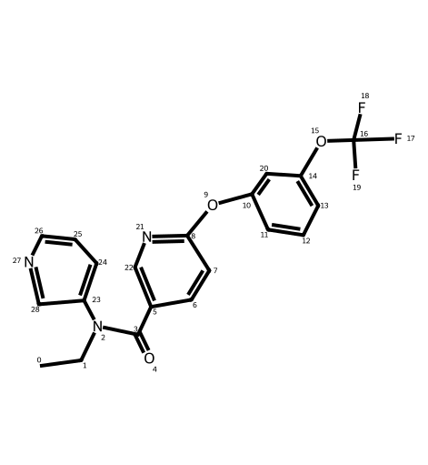 CCN(C(=O)c1ccc(Oc2cccc(OC(F)(F)F)c2)nc1)c1cccnc1